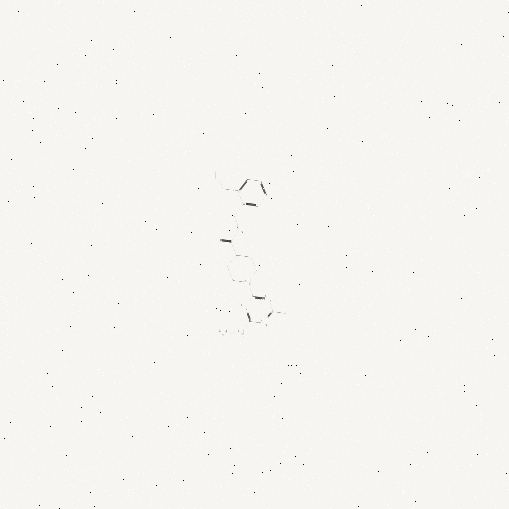 CCc1nc(NC)nc(N2CCC(C(=O)NCc3ccccc3CF)CC2)n1